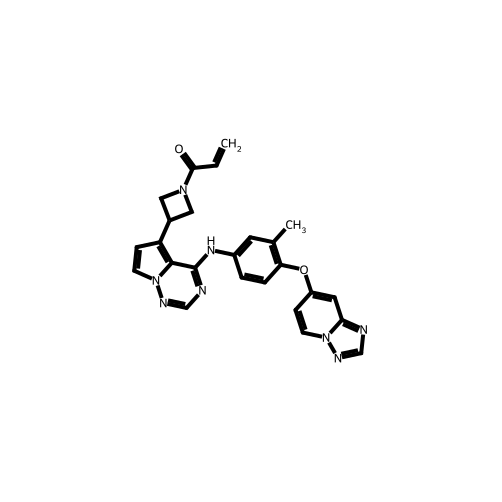 C=CC(=O)N1CC(c2ccn3ncnc(Nc4ccc(Oc5ccn6ncnc6c5)c(C)c4)c23)C1